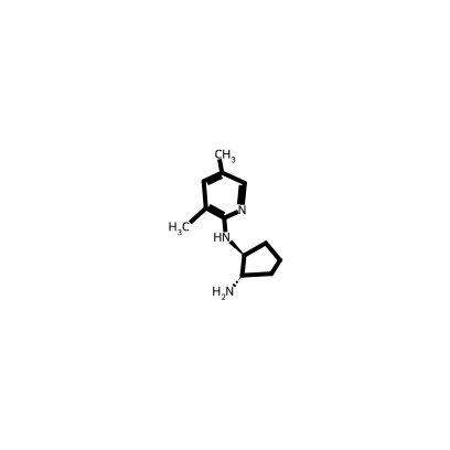 Cc1cnc(N[C@H]2CCC[C@@H]2N)c(C)c1